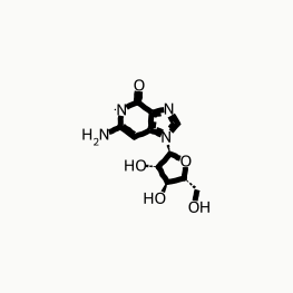 NC1=Cc2c(ncn2[C@@H]2O[C@H](CO)[C@@H](O)[C@@H]2O)C(=O)[N]1